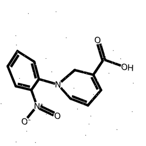 O=C(O)C1=CC=CN(c2ccccc2[N+](=O)[O-])C1